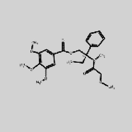 CC[C@@](COC(=O)c1cc(OC)c(OC)c(OC)c1)(c1ccccc1)N(C)C(=O)COC